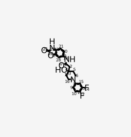 O=C(CC1(O)CCN(c2ccc(F)c(F)c2)CC1)Nc1ccc2[nH]c(=O)oc2c1